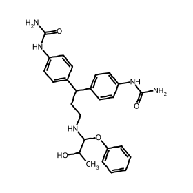 CC(O)C(NCCC(c1ccc(NC(N)=O)cc1)c1ccc(NC(N)=O)cc1)Oc1ccccc1